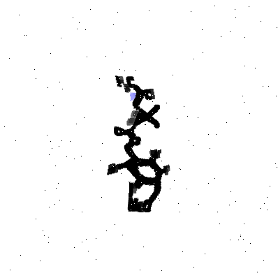 COCc1c(F)c(Br)c(COC(=O)[C@@H]2[C@H](/C=C(\Cl)C(F)(F)F)C2(C)C)c(Br)c1F